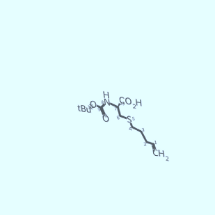 C=CCCCSC[C@@H](NC(=O)OC(C)(C)C)C(=O)O